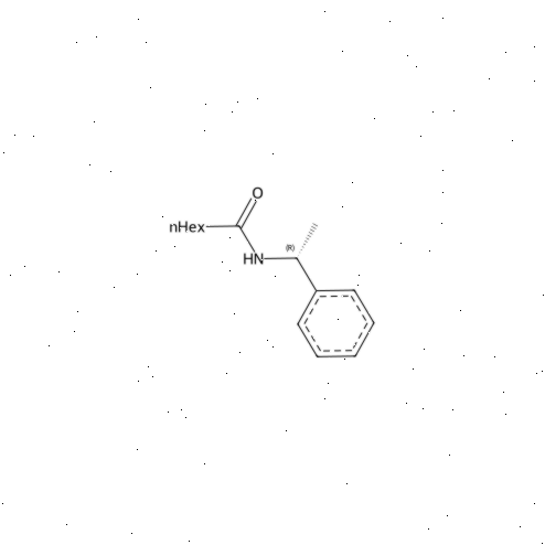 CCCCCCC(=O)N[C@H](C)c1ccccc1